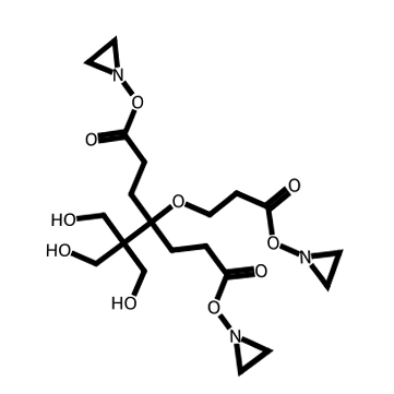 O=C(CCOC(CCC(=O)ON1CC1)(CCC(=O)ON1CC1)C(CO)(CO)CO)ON1CC1